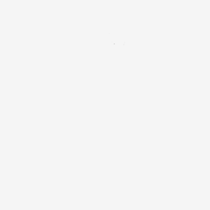 CCCCCCCCCCCCCCCc1cccc(OC(CC)[Si]2(C)OC(C)(C)C[Si](C)(C)[Si]2(C)C)c1